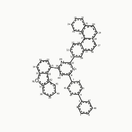 c1ccc(-c2ccc(-c3nc(-c4ccc5c(ccc6ccc7ccccc7c65)c4)nc(-c4cccc5oc6ccccc6c45)n3)cc2)cc1